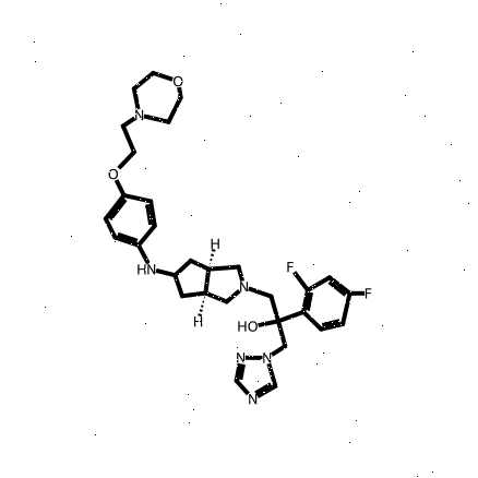 OC(CN1C[C@H]2CC(Nc3ccc(OCCN4CCOCC4)cc3)C[C@H]2C1)(Cn1cncn1)c1ccc(F)cc1F